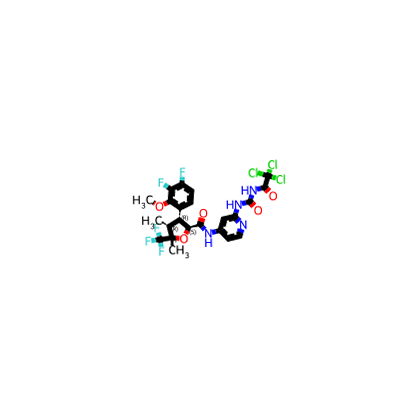 COc1c([C@@H]2[C@@H](C(=O)Nc3ccnc(NC(=O)NC(=O)C(Cl)(Cl)Cl)c3)O[C@](C)(C(F)(F)F)[C@@H]2C)ccc(F)c1F